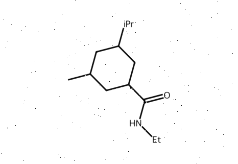 CCNC(=O)C1CC(C)CC(C(C)C)C1